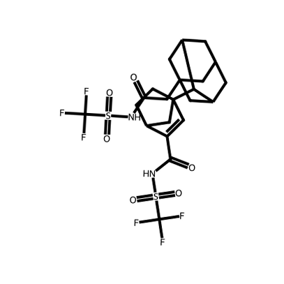 O=C(CC12CC3CC(C1)C(C14C=C(C(=O)NS(=O)(=O)C(F)(F)F)C(CC1)C4)C(C3)C2)NS(=O)(=O)C(F)(F)F